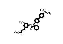 COC(=O)CCc1cc(C)cc(NC(=O)C2(Cc3ccc(-c4ccc(N(C)C)cc4)cc3)CCCCC2)c1